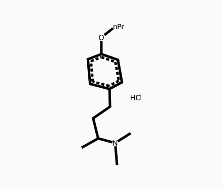 CCCOc1ccc(CCC(C)N(C)C)cc1.Cl